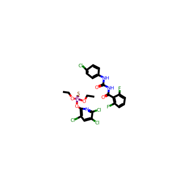 CCOP(=S)(OCC)Oc1nc(Cl)c(Cl)cc1Cl.O=C(NC(=O)c1c(F)cccc1F)Nc1ccc(Cl)cc1